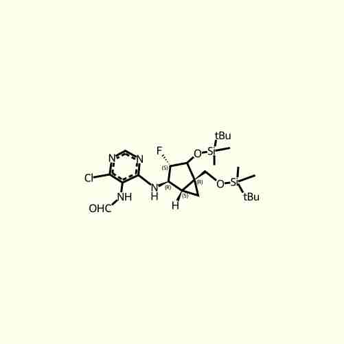 CC(C)(C)[Si](C)(C)OC[C@@]12C[C@@H]1[C@@H](Nc1ncnc(Cl)c1NC=O)[C@H](F)C2O[Si](C)(C)C(C)(C)C